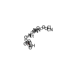 CCN(CC1CCN(c2cnc(C(=O)NC3CCC(Oc4ccc(C#N)c(Cl)c4)CC3)cn2)CC1)C1CC(Oc2ccc3c(c2)C(=O)N([C@@H]2CCC(=O)NC2=O)C3=O)C1